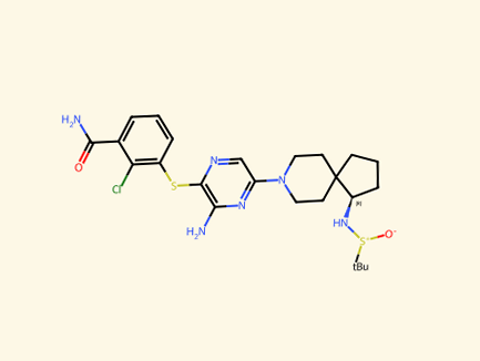 CC(C)(C)[S+]([O-])N[C@@H]1CCCC12CCN(c1cnc(Sc3cccc(C(N)=O)c3Cl)c(N)n1)CC2